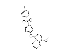 COc1ccc(Oc2ccc(S(=O)(=O)c3ccc(C)cc3)cc2)c2ccccc12